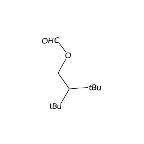 CC(C)(C)C(COC=O)C(C)(C)C